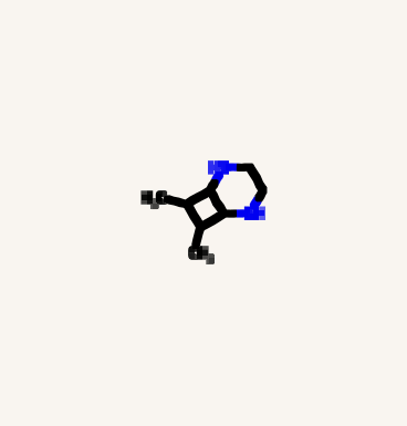 CC1C(C)C2NCCNC12